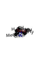 COc1ccc(C(C)/C(=C(\NC(=O)/C=C/c2ccccc2O[Si](C)(C)C(C)(C)C)C(=O)O)c2ccccc2O[Si](C)(C)C(C)(C)C)cc1OC